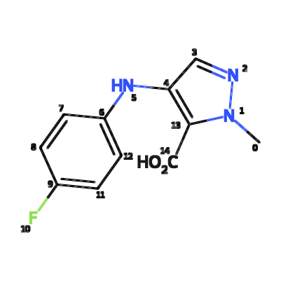 Cn1ncc(Nc2ccc(F)cc2)c1C(=O)O